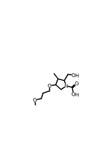 COCCCOC1CN(C(=O)O)C(CO)C1C